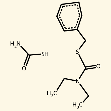 CCN(CC)C(=O)SCc1ccccc1.NC(=O)S